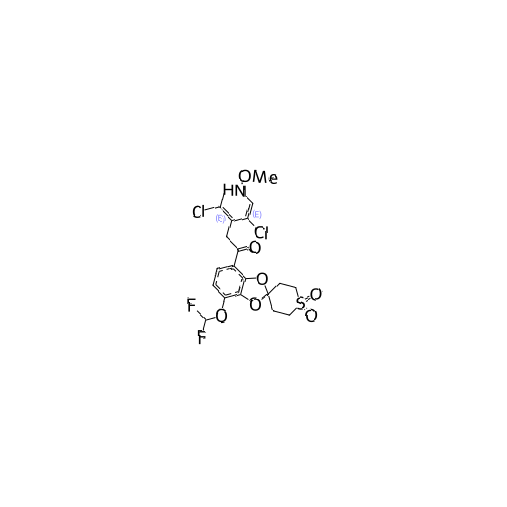 CON/C=C(Cl)\C(CC(=O)c1ccc(OC(F)F)c2c1OC1(CCS(=O)(=O)CC1)O2)=C(/C)Cl